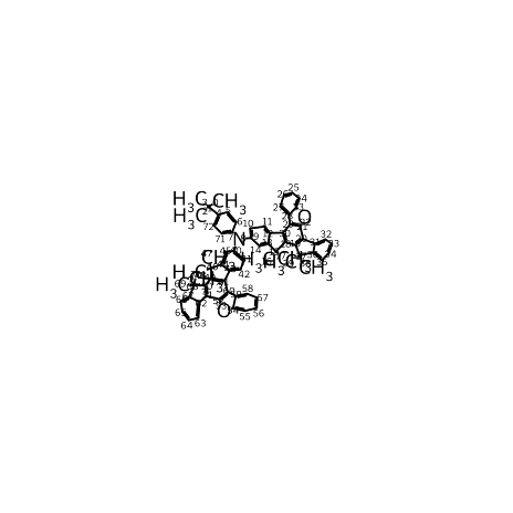 CC(C)(C)c1ccc(N(c2ccc3c(c2)C(C)(C)c2c4c(c5oc6ccccc6c5c2-3)-c2ccccc2C4(C)C)c2ccc3c(c2)C(C)(C)c2c4c(c5oc6ccccc6c5c2-3)-c2ccccc2C4(C)C)cc1